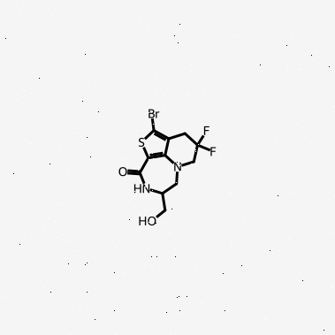 O=C1NC(CO)CN2CC(F)(F)Cc3c(Br)sc1c32